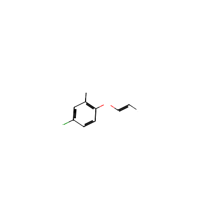 CCOC(=O)C=COc1ccc(Cl)cc1C(C)=O